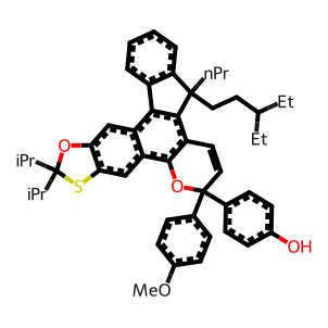 CCCC1(CCC(CC)CC)c2ccccc2-c2c1c1c(c3cc4c(cc23)OC(C(C)C)(C(C)C)S4)OC(c2ccc(O)cc2)(c2ccc(OC)cc2)C=C1